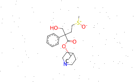 C[S+]([O-])CCC(CO)(C(=O)OC1CN2CCC1CC2)c1ccccc1